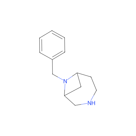 c1ccc(CN2C3CCNCC2C3)cc1